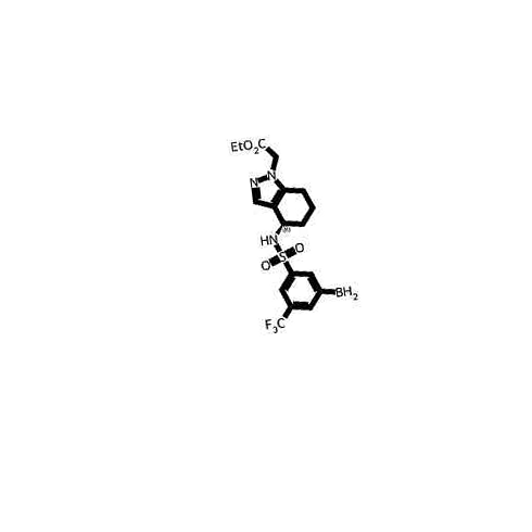 Bc1cc(C(F)(F)F)cc(S(=O)(=O)N[C@@H]2CCCc3c2cnn3CC(=O)OCC)c1